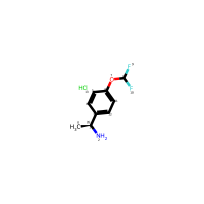 C[C@H](N)c1ccc(OC(F)F)cc1.Cl